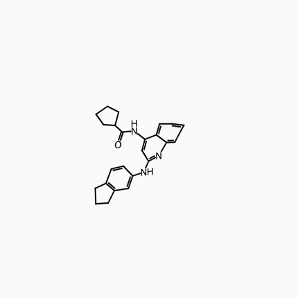 O=C(Nc1cc(Nc2ccc3c(c2)CCC3)nc2ccccc12)C1CCCC1